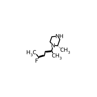 C/C(F)=C\C=C(/C)N1CCNC[C@@H]1C